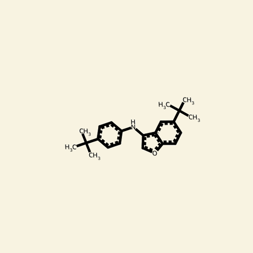 CC(C)(C)c1ccc(Nc2coc3ccc(C(C)(C)C)cc23)cc1